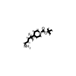 CC(C)(C)OC(=O)N1CCC(C(F)(F)CCCN)CC1